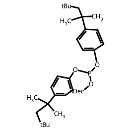 CCCCCCCCCCOP(Oc1ccc(C(C)(C)CC(C)(C)C)cc1)Oc1ccc(C(C)(C)CC(C)(C)C)cc1